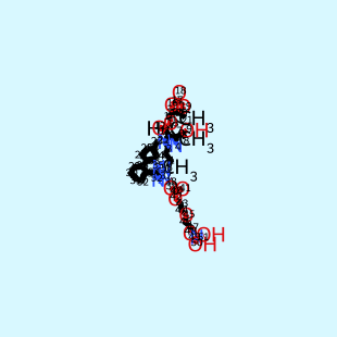 CCCc1nc(C(C)(C)O)c(C(=O)OCc2oc(=O)oc2C)n1Cc1ccc(-c2ccccc2-c2nnn(COC(=O)OCCOCCON(O)O)n2)cc1